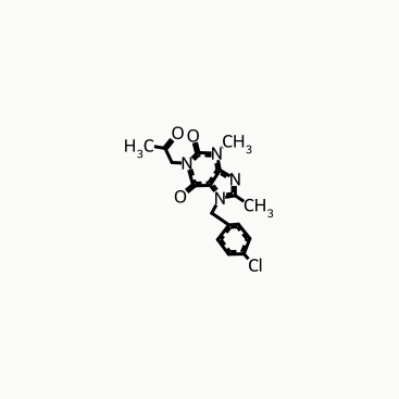 CC(=O)Cn1c(=O)c2c(nc(C)n2Cc2ccc(Cl)cc2)n(C)c1=O